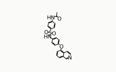 CC(=O)Nc1ccc(S(=O)(=O)Nc2ccc(Oc3cccc4cnccc34)cc2)cc1